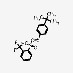 CC(C)(C)c1ccc(SOS(=O)(=O)c2ccccc2C(F)(F)F)cc1